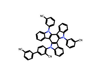 N#Cc1cccc(-c2ccc(-n3c4ccccc4c4c5c(c6ccccc6n5-c5cccc(C#N)c5)c5c(c6ccccc6n5-c5cccc(C#N)c5)c43)c(C#N)c2)c1